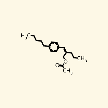 CCCCCc1ccc(C=C(CCC)COC(C)=O)cc1